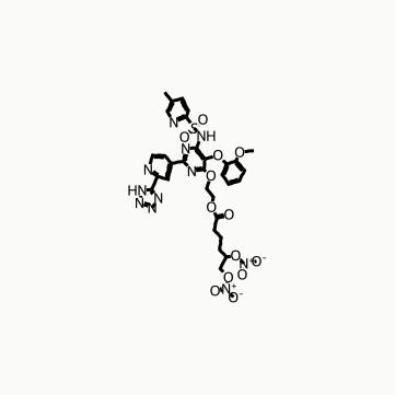 COc1ccccc1Oc1c(NS(=O)(=O)c2ccc(C)cn2)nc(-c2ccnc(-c3nnn[nH]3)c2)nc1OCCOC(=O)CCCC(CO[N+](=O)[O-])O[N+](=O)[O-]